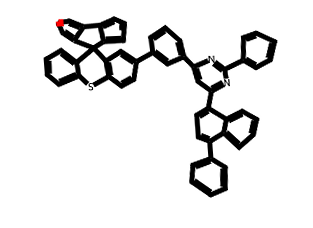 c1ccc(-c2nc(-c3cccc(-c4ccc5c(c4)C4(c6ccccc6S5)c5ccccc5-c5ccccc54)c3)cc(-c3ccc(-c4ccccc4)c4ccccc34)n2)cc1